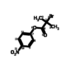 CC(C)(Br)C(=O)Oc1ccc([N+](=O)[O-])cc1